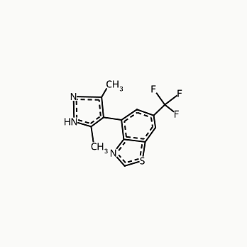 Cc1n[nH]c(C)c1-c1cc(C(F)(F)F)cc2scnc12